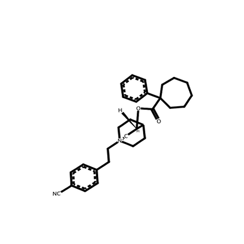 N#Cc1ccc(CC[N+]23CCC(CC2)[C@@H](OC(=O)C2(c4ccccc4)CCCCCC2)C3)cc1